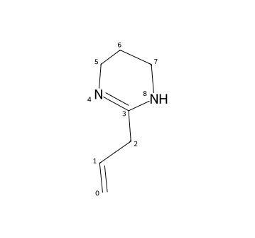 C=CCC1=NCCCN1